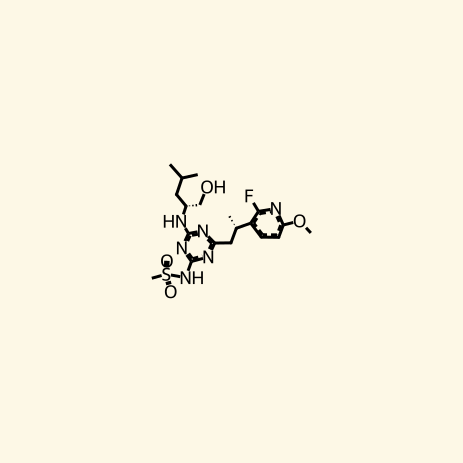 COc1ccc([C@@H](C)Cc2nc(N[C@@H](CO)CC(C)C)nc(NS(C)(=O)=O)n2)c(F)n1